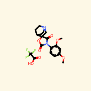 COc1ccc(N2C(=O)OC3(CN4CCC3CC4)C2=O)c(OC)c1.O=C(O)C(F)(F)F